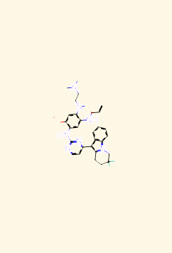 C=CC(=O)Nc1cc(Nc2nccc(-c3c4n(c5ccccc35)CC(F)(F)CC4)n2)c(OC)cc1N(C)CCN(C)C